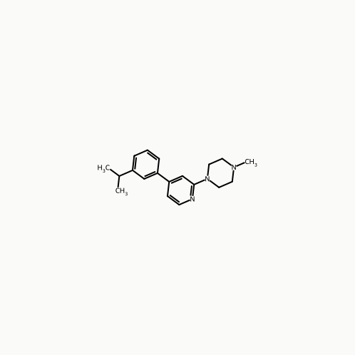 CC(C)c1cccc(-c2ccnc(N3CCN(C)CC3)c2)c1